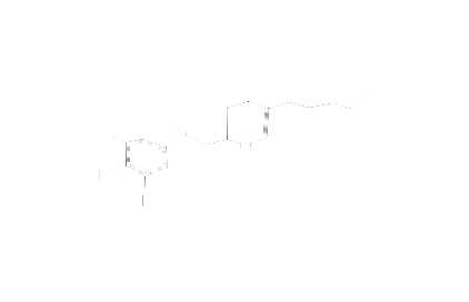 CCCCCC1=COC(COc2cc(F)c(F)c(F)c2)CC1